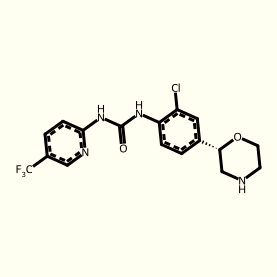 O=C(Nc1ccc(C(F)(F)F)cn1)Nc1ccc([C@H]2CNCCO2)cc1Cl